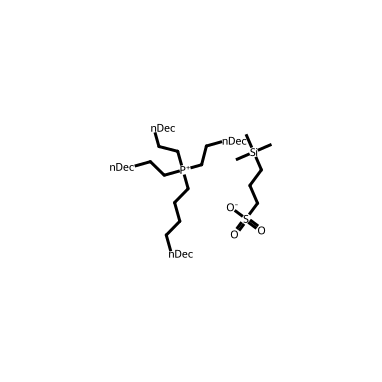 CCCCCCCCCCCCCC[P+](CCCCCCCCCCCC)(CCCCCCCCCCCC)CCCCCCCCCCCC.C[Si](C)(C)CCCS(=O)(=O)[O-]